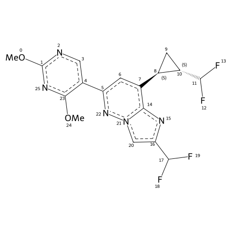 COc1ncc(-c2cc([C@H]3C[C@@H]3C(F)F)c3nc(C(F)F)cn3n2)c(OC)n1